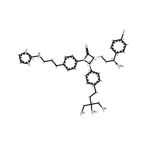 CC(=O)O[C@@H](CC[C@H]1C(=O)N(c2ccc(CCCNc3nccs3)cc2)[C@@H]1c1ccc(CCC(CO)(CO)OC(C)=O)cc1)c1ccc(F)cc1